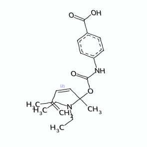 C=C(C)/C=C\C(C)(OC(=O)Nc1ccc(C(=O)O)cc1)N(CC)CC